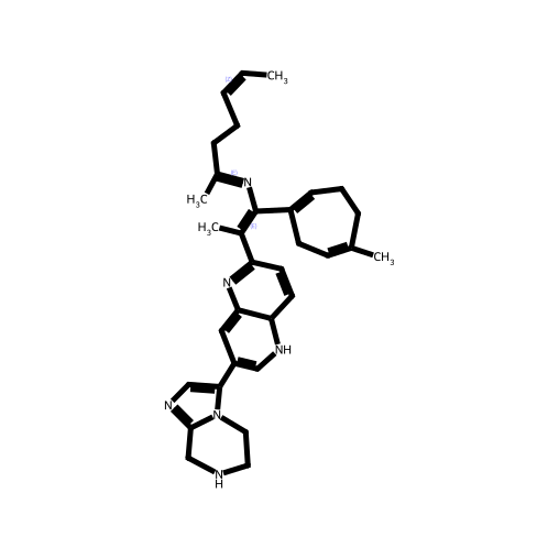 C/C=C\CC/C(C)=N/C(C1=CCCC(C)=CC1)=C(\C)C1=NC2=CC(c3cnc4n3CCNC4)=CNC2C=C1